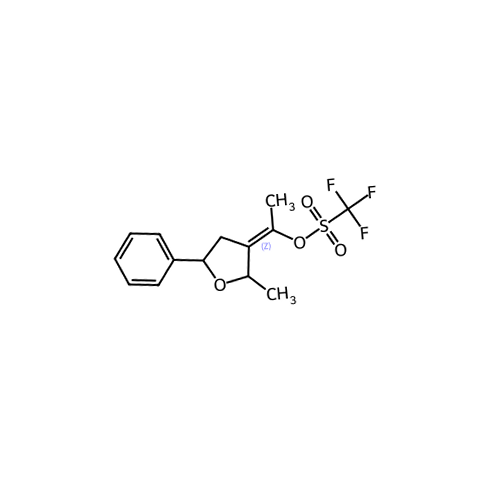 C/C(OS(=O)(=O)C(F)(F)F)=C1\CC(c2ccccc2)OC1C